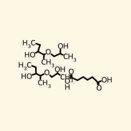 CCC(O)C(C)OCC(C)O.CCC(O)C(C)OCC(C)O.O=C(O)CCCCC(=O)O